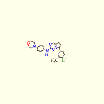 FC(F)(F)c1cc(-c2ccc3cnc(Nc4ccc(N5CCOCC5)cc4)nn23)ccc1Cl